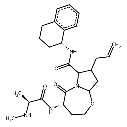 C=CCC1CC2OCC[C@H](NC(=O)[C@H](C)NC)C(=O)N2C1C(=O)N[C@@H]1CCCc2ccccc21